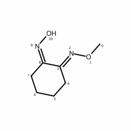 CON=C1CCCCC1=NO